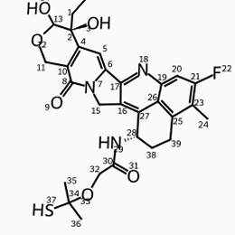 CC[C@]1(O)c2cc3n(c(=O)c2COC1O)Cc1c-3nc2cc(F)c(C)c3c2c1[C@@H](NC(=O)COC(C)(C)S)CC3